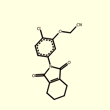 N#CCOc1cc(N2C(=O)C3=C(CCCC3)C2=O)ccc1Cl